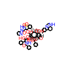 CC(=O)O[C@H]1C(=O)[C@@]2(C)[C@H]([C@H](OC(=O)c3ccccc3)[C@]3(O)C[C@H](OC(=O)[C@H](O)[C@@H](NC(=O)c4ccccc4)c4ccccc4)C(C)=C1C3(C)C)[C@]1(OC(C)=O)CO[C@@H]1C[C@@H]2O.CN1C(C(=O)Nc2ccccn2)=C(O)c2ccccc2S1(=O)=O.Cc1ccc2c(c1)c1c3n2CCNC3CCC1